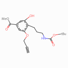 C#CCOc1cc(C(=O)OC)cc(O)c1CCCNC(=O)OC(C)(C)C